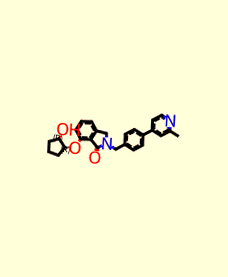 Cc1cc(-c2ccc(CN3Cc4cccc(O[C@@H]5CCC[C@H]5O)c4C3=O)cc2)ccn1